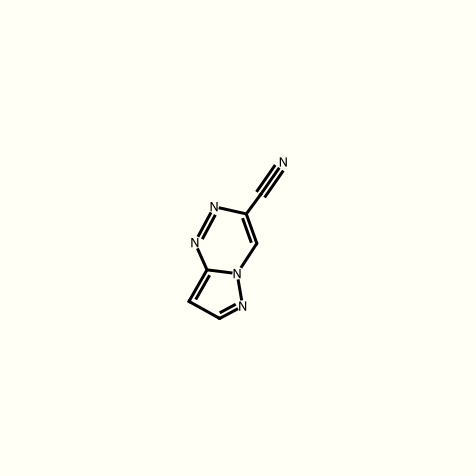 N#Cc1cn2nccc2nn1